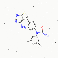 Cc1cc(C)cc(N(C(N)=O)c2ccc(-c3csc4ncnc(N)c34)cc2)c1